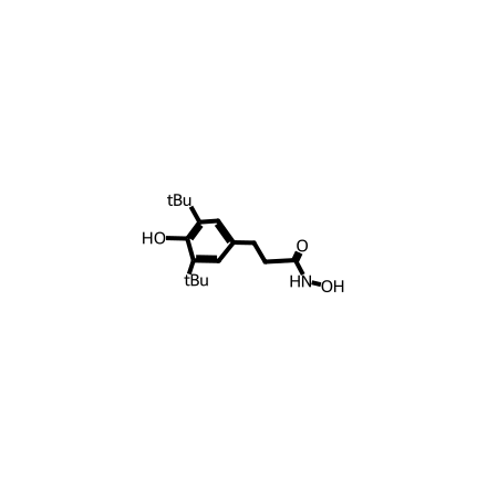 CC(C)(C)c1cc(CCC(=O)NO)cc(C(C)(C)C)c1O